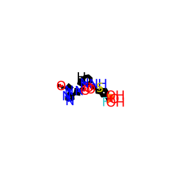 COC[C@@H]1CCN1c1ncncc1C1CN(C(=O)[C@@H]2CC[C@@H]3CCC[C@H](NC(=O)c4cc5cc([C@H](F)P(=O)(O)O)ccc5s4)C(=O)N32)C1